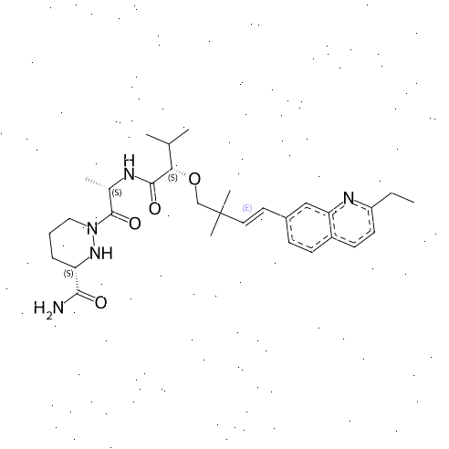 CCc1ccc2ccc(/C=C/C(C)(C)CO[C@H](C(=O)N[C@@H](C)C(=O)N3CCC[C@@H](C(N)=O)N3)C(C)C)cc2n1